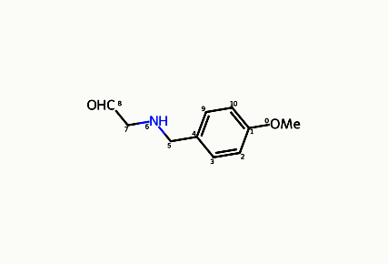 COc1ccc(CNCC=O)cc1